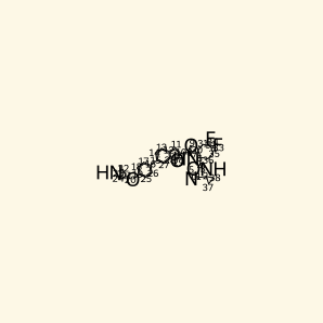 N#CC1(NC(=O)C2(NC(=O)c3cc4ccc(-c5ccc(OC6CNC6)cc5)cc4o3)CCC(F)(F)CC2)CC1